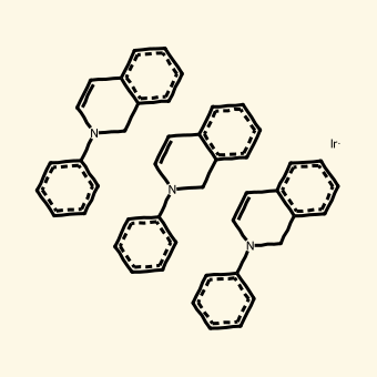 C1=CN(c2ccccc2)Cc2ccccc21.C1=CN(c2ccccc2)Cc2ccccc21.C1=CN(c2ccccc2)Cc2ccccc21.[Ir]